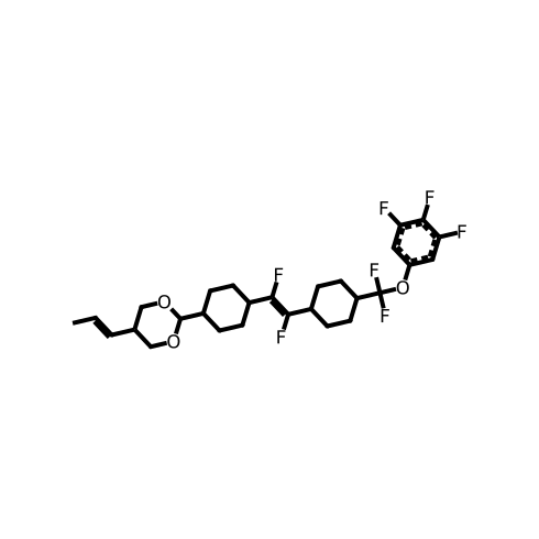 C/C=C/C1COC(C2CCC(/C(F)=C(\F)C3CCC(C(F)(F)Oc4cc(F)c(F)c(F)c4)CC3)CC2)OC1